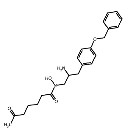 CC(=O)CCCCC(=O)N(O)CC(N)Cc1ccc(OCc2ccccc2)cc1